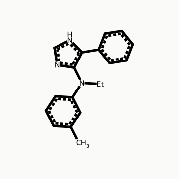 CCN(c1cccc(C)c1)c1nc[nH]c1-c1ccccc1